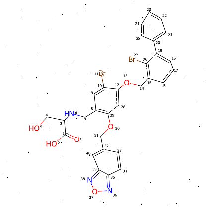 O=C(O)C(CO)NCc1cc(Br)c(OCc2cccc(-c3ccccc3)c2Br)cc1OCc1ccc2nonc2c1